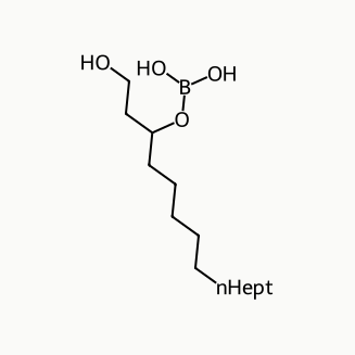 CCCCCCCCCCCCC(CCO)OB(O)O